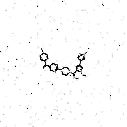 C=Nn1cc(-c2cnn(C)c2)cc1/C(=N\C)N1CCN(c2ncc(C(=O)c3ccc(F)cc3)cn2)CC1